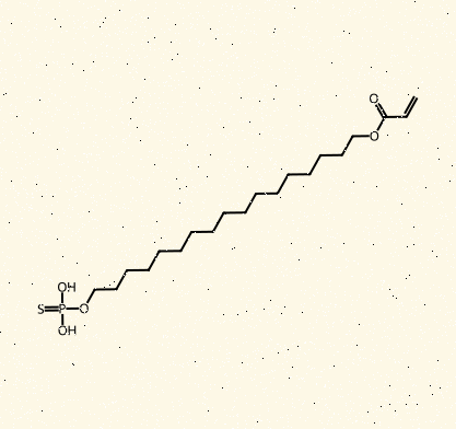 C=CC(=O)OCCCCCCCCCCCCCCCCCOP(O)(O)=S